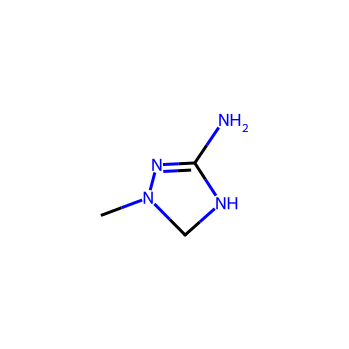 CN1CNC(N)=N1